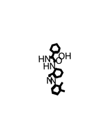 Cc1cccc(-n2ncc3c2CCCC3NC(=O)C(=N)C2=C(O)CCCC2)c1C